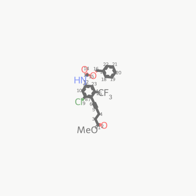 COC(=O)CCC#Cc1c(Cl)cc(NC(=O)OCc2ccccc2)cc1C(F)(F)F